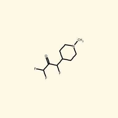 CN1CCC(C(F)C(=O)C(F)F)CC1